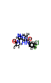 CC1CCN(c2cnn3c2CN(C(=O)Nc2ccc(F)c(Cl)c2)C(C)C3)C1=O